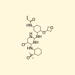 C=CC(=O)NC1CCC(OC2COC2)C(NC2NCC(Cl)C(NC3CCCCC3P(C)(C)=O)N2)C1